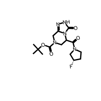 CC(C)(C)OC(=O)N1Cc2n[nH]c(=O)n2C(C(=O)N2CC[C@H](F)C2)C1